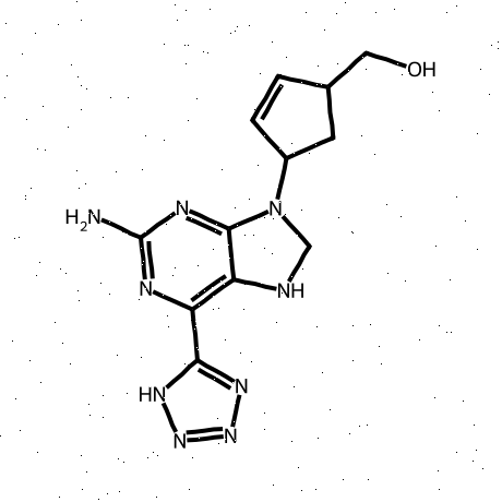 Nc1nc(-c2nnn[nH]2)c2c(n1)N(C1C=CC(CO)C1)CN2